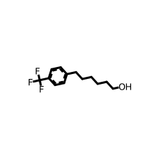 OCCCCCCc1ccc(C(F)(F)F)cc1